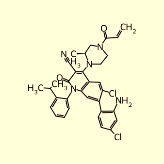 C=CC(=O)N1CCN(c2c(C#N)c(=O)n(-c3ccccc3C(C)C)c3cc(-c4ccc(Cl)cc4N)c(Cl)cc23)[C@@H](C)C1